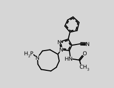 CC(=O)Nc1c(C#N)c(-c2ccccc2)nn1C1CCCCCN(P)CC1